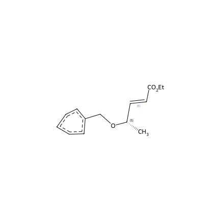 CCOC(=O)/C=C/[C@H](C)OCc1ccccc1